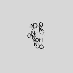 O=C(c1ccnc(CN2CCN(C[C@H](O)CN3CCc4ccccc4C3)C2=O)c1)N1CCCCC1